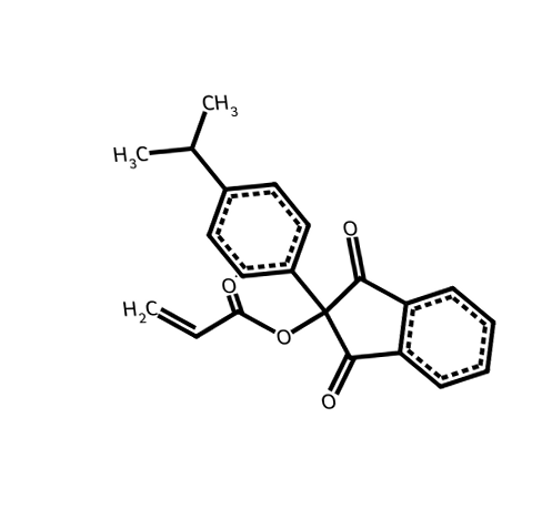 C=CC(=O)OC1(c2[c]cc(C(C)C)cc2)C(=O)c2ccccc2C1=O